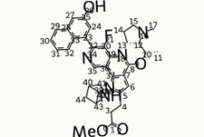 COC(=O)CCc1cc2c(O[C@@H](C)[C@@H]3CCCN3C)nc3c(F)c(-c4cc(O)cc5ccccc45)ncc3c2n1C1C2CNC1C2